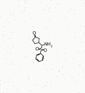 NC(C1CCC(=O)C1)S(=O)(=O)c1ccccc1